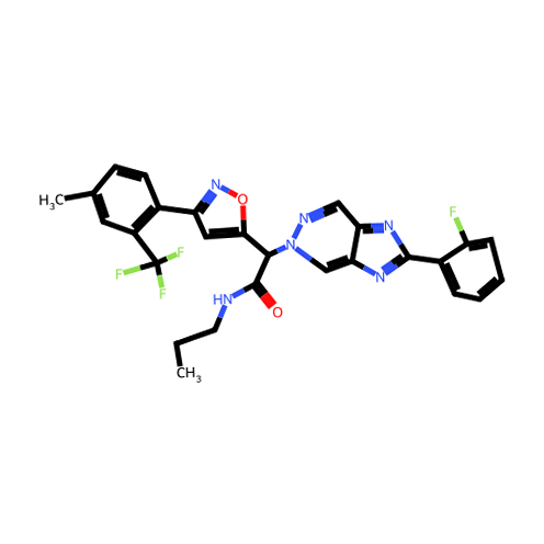 CCCNC(=O)C(c1cc(-c2ccc(C)cc2C(F)(F)F)no1)n1cc2nc(-c3ccccc3F)nc-2cn1